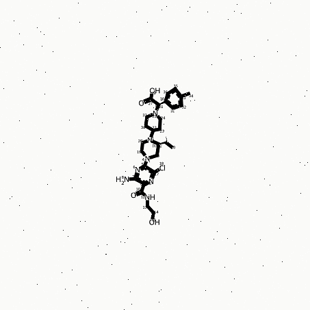 CC[C@H]1CN(c2nc(N)c(C(=O)NCCO)nc2Cl)CCN1C1CCN([C@@H](C(=O)O)c2ccc(C)cc2)CC1